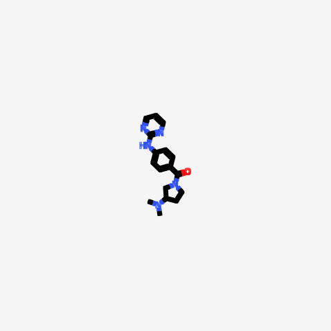 CN(C)C1CCN(C(=O)c2ccc(Nc3ncccn3)cc2)C1